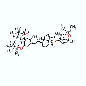 C=C1/C(=C\C=C2/CCC[C@]3(C)C(C(C)SC/C=C\C(C)(C)O[Si](CC)(CC)CC)=CC[C@@H]23)C[C@@H](O[Si](C)(C)C(C)(C)C)C[C@@H]1O[Si](C)(C)C(C)(C)C